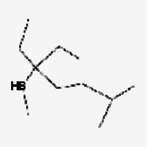 CBC(CC)(CC)CCC(C)C